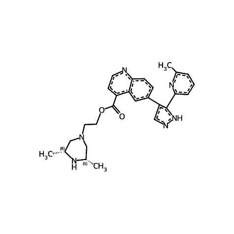 Cc1cccc(-c2[nH]ncc2-c2ccc3nccc(C(=O)OCCN4C[C@@H](C)N[C@@H](C)C4)c3c2)n1